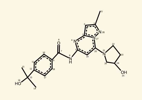 Cc1cc2nc(NC(=O)c3ccc(C(C)(C)O)cc3)cc(N3CCC(O)C3)n2n1